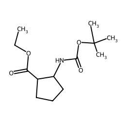 CCOC(=O)C1CCCC1NC(=O)OC(C)(C)C